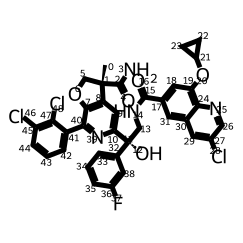 C[C@]1(C(N)=O)COc2c1cc([C@@](O)(CNC(=O)c1cc(OC3CC3)c3ncc(Cl)cc3c1)c1cccc(F)c1)nc2-c1cccc(Cl)c1Cl